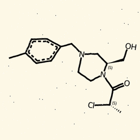 Cc1ccc(CN2CCN(C(=O)[C@H](C)Cl)[C@H](CO)C2)cc1